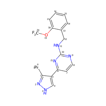 CC(C)c1n[nH]cc1-c1ccnc(NCc2ccccc2OC(F)(F)F)n1